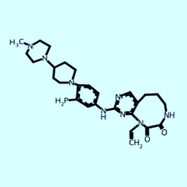 C=CN1C(=O)C(=O)NCCCc2cnc(Nc3ccc(N4CCC(N5CCN(C)CC5)CC4)c(P)c3)nc21